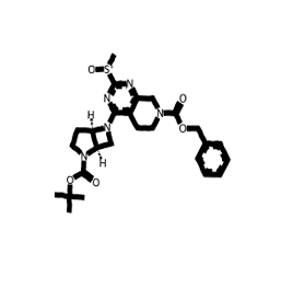 C[S+]([O-])c1nc2c(c(N3C[C@@H]4[C@H]3CCN4C(=O)OC(C)(C)C)n1)CCN(C(=O)OCc1ccccc1)C2